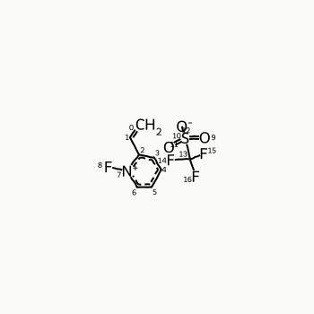 C=Cc1cccc[n+]1F.O=S(=O)([O-])C(F)(F)F